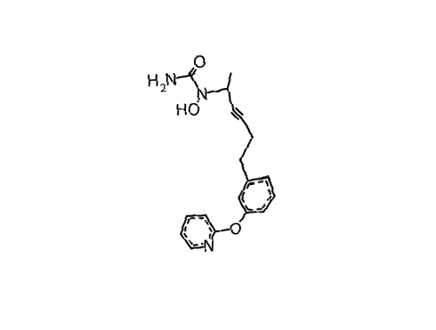 CC(C#CCCc1cccc(Oc2ccccn2)c1)N(O)C(N)=O